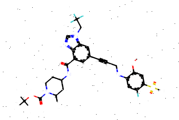 COc1cc(S(C)(=O)=O)c(F)cc1NCC#Cc1cc(C(=O)NC2CCN(C(=O)OC(C)(C)C)C(C)C2)c2ncn(CC(F)(F)F)c2c1